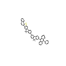 CC1(C)c2ccc(-c3ccc4c(c3)C(C)(C)c3cc5c(cc3-4)sc3c4ccccc4ccc53)cc2-c2ccc(-c3c4ccccc4c(-c4ccccc4)c4ccccc34)cc21